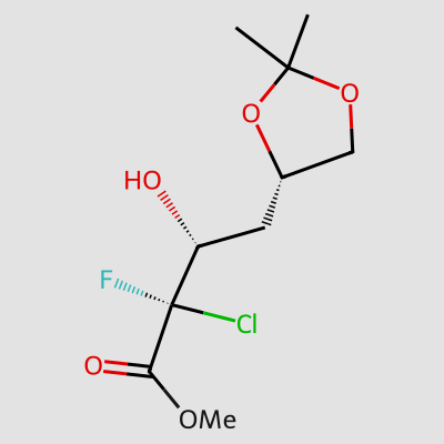 COC(=O)[C@](F)(Cl)[C@H](O)C[C@H]1COC(C)(C)O1